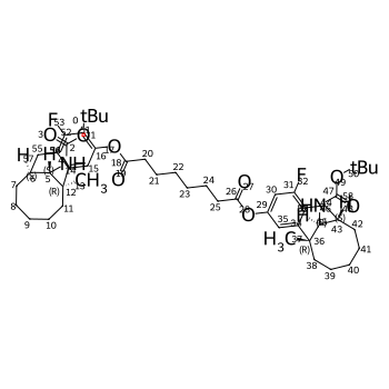 CC(C)(C)OC(=O)N[C@H]1[C@H]2CCCCC[C@]1(C)c1cc(OC(=O)CCCCCCC(=O)Oc3cc(F)c4c(c3)[C@@]3(C)CCCCC[C@@H](C4)[C@@H]3NC(=O)OC(C)(C)C)cc(F)c1C2